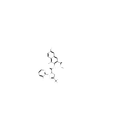 CNC(=O)c1cc2cc(Br)ccc2c(Cl)c1NC(=O)C1CC(C(F)(F)F)=NN1c1ncccc1Cl